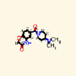 CN(C)C1CCN(C(=O)c2ccc3c(c2)NC(=O)CO3)CC1